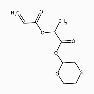 C=CC(=O)OC(C)C(=O)OC1CSCCO1